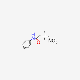 CC(C)(CC(=O)Nc1ccccc1)C[N+](=O)[O-]